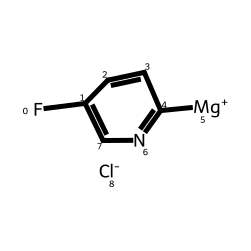 Fc1cc[c]([Mg+])nc1.[Cl-]